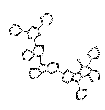 O=c1c2c3cc(-c4ccc5c(c4)c4ccccc4n5-c4ccc(-c5nc(-c6ccccc6)nc(-c6ccccc6)n5)c5ccccc45)ccc3n(-c3ccccc3)c2c2ccccc2n1-c1ccccc1